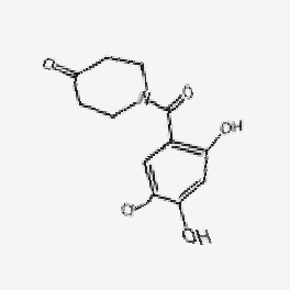 O=C1CCN(C(=O)c2cc(Cl)c(O)cc2O)CC1